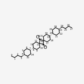 CCCC[C@H]1CC[C@H](C2CCC3(CC2)C(=O)C2(CCC([C@H]4CC[C@H](CCCC)CC4)CC2)C3=O)CC1